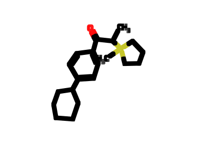 CC(C(=O)c1ccc(C2CCCCC2)cc1)S1(C)CCCC1